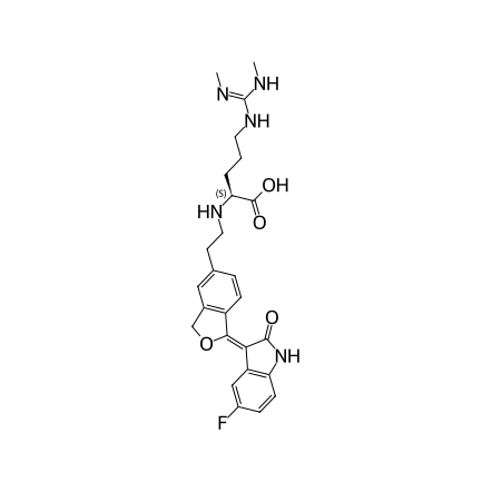 CN=C(NC)NCCC[C@H](NCCc1ccc2c(c1)COC2=C1C(=O)Nc2ccc(F)cc21)C(=O)O